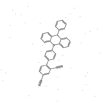 N#Cc1ccc(-c2ccc(N3c4ccccc4C(c4ccccc4)c4ccccc43)cc2)c(C#N)c1